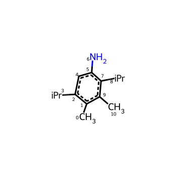 Cc1c(C(C)C)cc(N)c(C(C)C)c1C